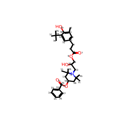 Cc1cc(CCC(=O)OCC(O)CN2C(C)(C)CC(OC(=O)c3ccccc3)CC2(C)C)cc(C(C)(C)C)c1O